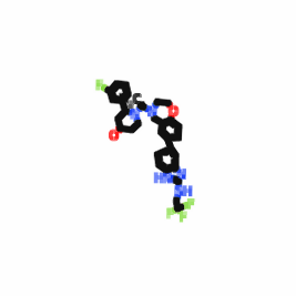 C=C(N1CCOc2ccc(-c3ccc4[nH]c(NCC(F)(F)F)nc4c3)cc2C1)N1CCC(=O)CC1c1cccc(F)c1